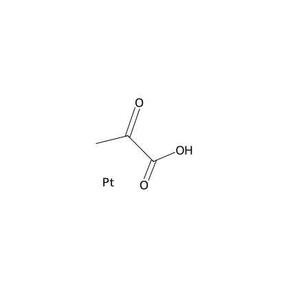 CC(=O)C(=O)O.[Pt]